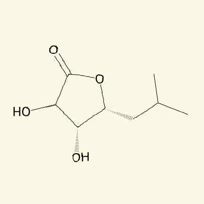 CC(C)C[C@H]1OC(=O)C(O)[C@H]1O